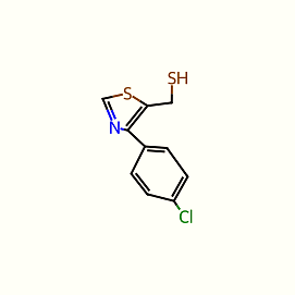 SCc1scnc1-c1ccc(Cl)cc1